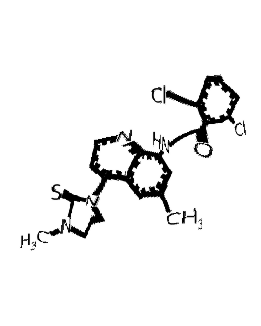 Cc1cc(NC(=O)c2c(Cl)cccc2Cl)c2nccc(N3CCN(C)C3=S)c2c1